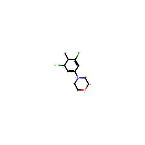 CC1C(F)=CC(N2CCOCC2)=CC1F